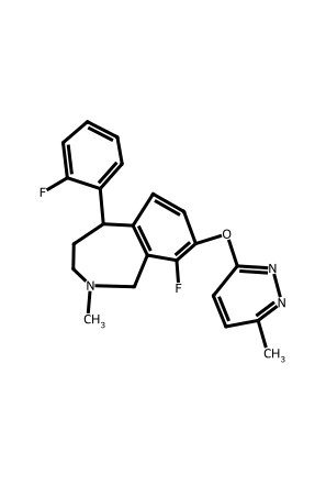 Cc1ccc(Oc2ccc3c(c2F)CN(C)CCC3c2ccccc2F)nn1